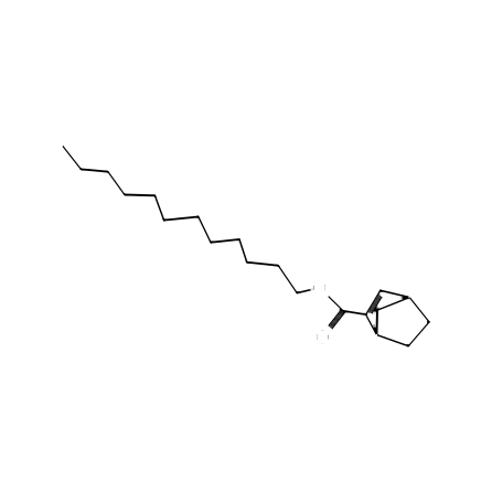 CCCCCCCCCCCCOC(=O)C1=CC2CCC1C2